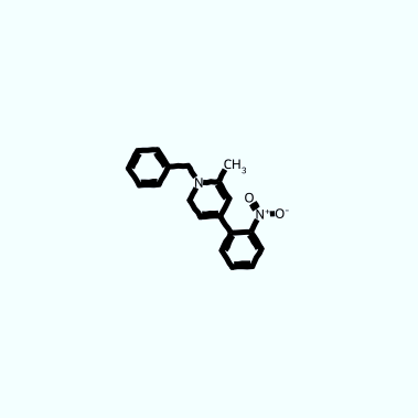 CC1=CC(c2ccccc2[N+](=O)[O-])=CCN1Cc1ccccc1